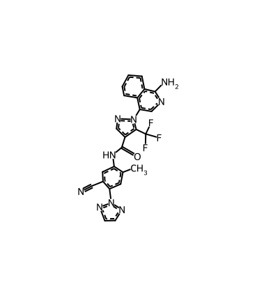 Cc1cc(-n2nccn2)c(C#N)cc1NC(=O)c1cnn(-c2cnc(N)c3ccccc23)c1C(F)(F)F